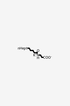 CCCCCCCCCCCC(=O)NCCC(=O)[O-].[K+]